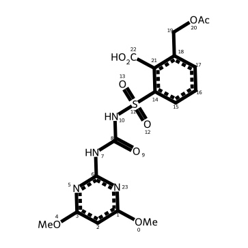 COc1cc(OC)nc(NC(=O)NS(=O)(=O)c2cccc(COC(C)=O)c2C(=O)O)n1